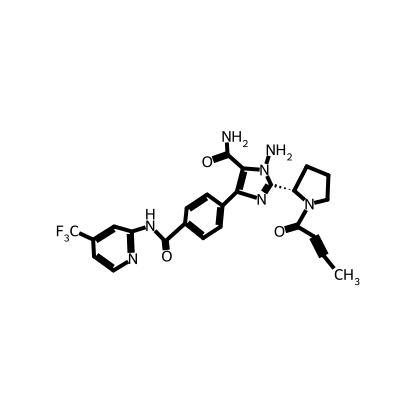 CC#CC(=O)N1CCC[C@H]1c1nc(-c2ccc(C(=O)Nc3cc(C(F)(F)F)ccn3)cc2)c(C(N)=O)n1N